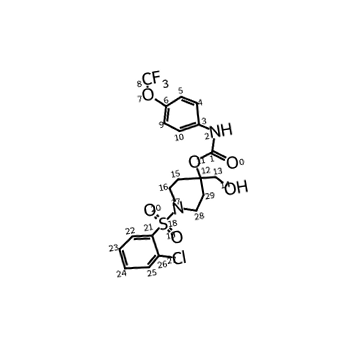 O=C(Nc1ccc(OC(F)(F)F)cc1)OC1(CO)CCN(S(=O)(=O)c2ccccc2Cl)CC1